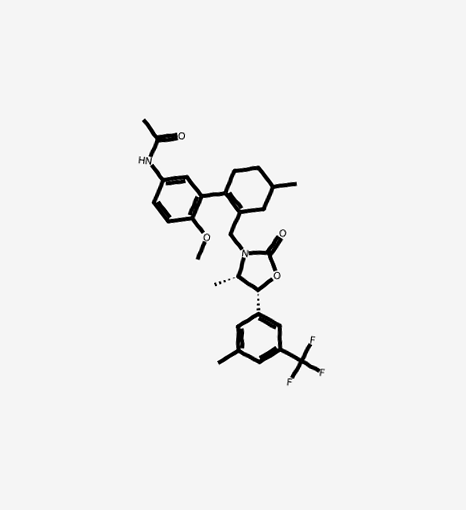 COc1ccc(NC(C)=O)cc1C1=C(CN2C(=O)O[C@H](c3cc(C)cc(C(F)(F)F)c3)[C@@H]2C)CC(C)CC1